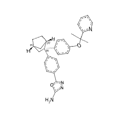 CC(C)(Oc1ccc([C@]2(c3ccc(-c4nnc(N)o4)cc3)C[C@@H]3CC[C@H]2C3)cc1)c1ccccn1